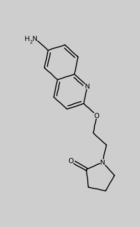 Nc1ccc2nc(OCCN3CCCC3=O)ccc2c1